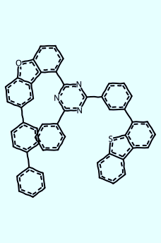 c1ccc(-c2ccc(-c3ccc4oc5cccc(-c6nc(-c7ccccc7)nc(-c7cccc(-c8cccc9c8sc8ccccc89)c7)n6)c5c4c3)cc2)cc1